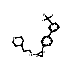 FC(F)(F)c1cccc(-c2ccc([C@H]3C[C@H]3NCCC3CCNCC3)cc2)c1